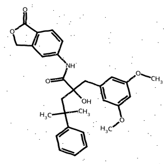 COc1cc(CC(O)(CC(C)(C)c2ccccc2)C(=O)Nc2ccc3c(c2)COC3=O)cc(OC)c1